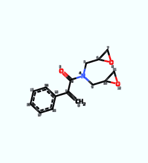 C=C(C(=O)N(CC1CO1)CC1CO1)c1ccccc1